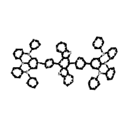 c1ccc(B2c3ccccc3B3c4ccccc4B(c4ccccc4)c4cc(-c5ccc(-c6c7sc8ccccc8c7c(-c7ccc(-c8cc9c%10c(c8)B(c8ccccc8)c8ccccc8B%10c8ccccc8B9c8ccccc8)cc7)c7sc8ccccc8c67)cc5)cc2c43)cc1